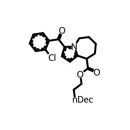 CCCCCCCCCCCCOC(=O)C1CCCCn2c(C(=O)c3ccccc3Cl)ccc21